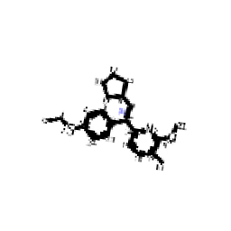 CCSc1ccc(/C(=C\C2CCCC2)c2ccc(C)c(OC)n2)cc1